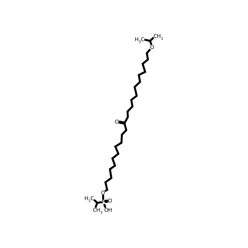 CC(C)OCCCCCCCCCCCCC(=O)CCCCCCCCCCCOP(=O)(O)C(C)C